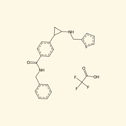 O=C(NCc1ccccc1)c1ccc(C2CC2NCc2cccs2)cc1.O=C(O)C(F)(F)F